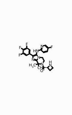 CC1(C)c2nc(-c3cc(F)c(F)c(F)c3)c(Nc3ccc(F)cn3)n2CCN1C(=O)[C@@H]1CCN1